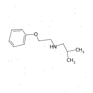 CC(C)CNCCOc1ccccc1